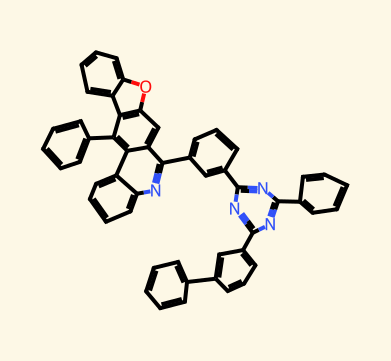 c1ccc(-c2cccc(-c3nc(-c4ccccc4)nc(-c4cccc(-c5nc6ccccc6c6c(-c7ccccc7)c7c(cc56)oc5ccccc57)c4)n3)c2)cc1